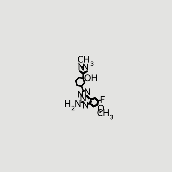 CCn1cc(C2(O)CCCC(c3nc4c5cc(F)c(OC)cc5nc(N)n4n3)C2)cn1